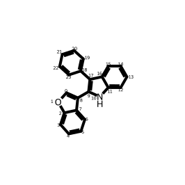 [c]1oc2ccccc2c1-c1[nH]c2ccccc2c1-c1ccccc1